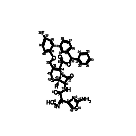 Nc1nc(/C(=N/O)C(=O)NC2C(=O)N3C(C(=O)OC(c4ccccc4)c4ccccc4)=C(COc4ccc(F)cc4)CS[C@H]23)cs1